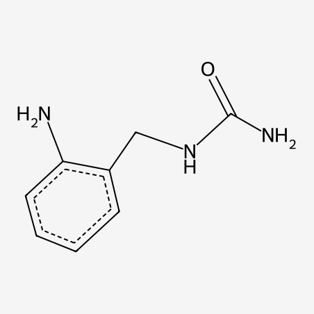 NC(=O)NCc1ccccc1N